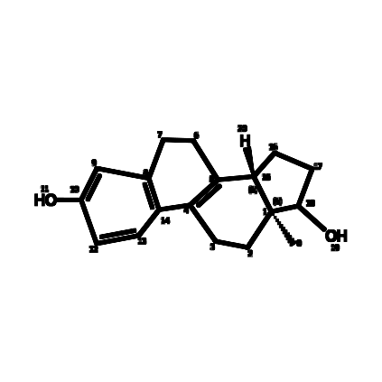 C[C@]12CCC3=C(CCc4cc(O)ccc43)[C@@H]1CCC2O